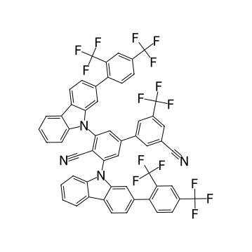 N#Cc1cc(-c2cc(-n3c4ccccc4c4ccc(-c5ccc(C(F)(F)F)cc5C(F)(F)F)cc43)c(C#N)c(-n3c4ccccc4c4ccc(-c5ccc(C(F)(F)F)cc5C(F)(F)F)cc43)c2)cc(C(F)(F)F)c1